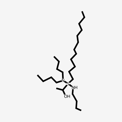 CCCCCCCCCCCCS(NCCCC)(C(C)O)N(CCCC)CCCC